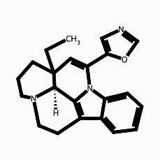 CCC12C=C(c3cnco3)n3c4c(c5ccccc53)CCN(CCC1)[C@H]42